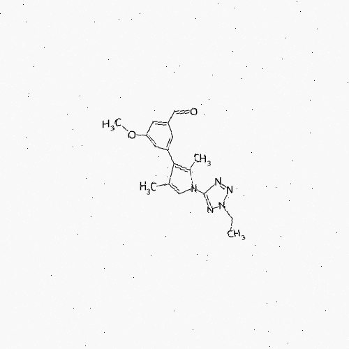 CCn1nnc(-n2cc(C)c(-c3cc(C=O)cc(OC)c3)c2C)n1